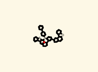 C1=CC(c2cc(-c3ccc4ccc5oc6ccccc6c5c4c3)ccc2N(c2ccc(-c3ccccc3)cc2)c2cccc3c2sc2ccccc23)=CCC1